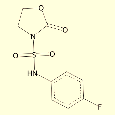 O=C1OCCN1S(=O)(=O)Nc1ccc(F)cc1